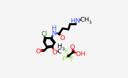 CNCCCCC(=O)Nc1cc(OC)c(C=O)cc1Cl.O=C(O)C(F)(F)F